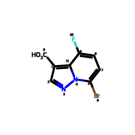 O=C(O)c1cnn2c(Br)ccc(F)c12